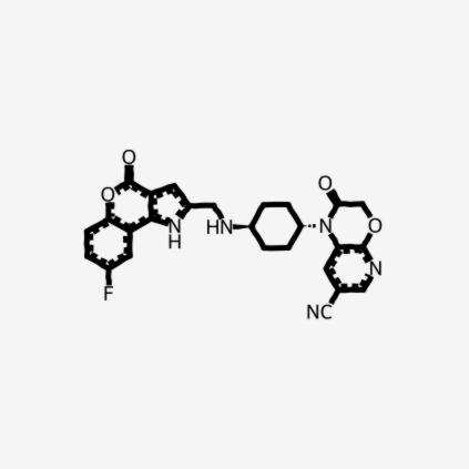 N#Cc1cnc2c(c1)N([C@H]1CC[C@H](NCc3cc4c(=O)oc5ccc(F)cc5c4[nH]3)CC1)C(=O)CO2